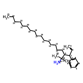 C=CC(c1ccccc1)C(CCCCCCCCCCCCCCCC)C(C)(C)N